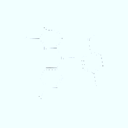 CCN(c1ccc([N+](=O)[O-])cc1)c1ccnc(Cl)n1.CCNc1ccc([N+](=O)[O-])cc1